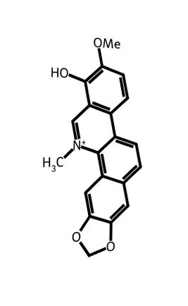 COc1ccc2c(c[n+](C)c3c4cc5c(cc4ccc23)OCO5)c1O